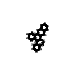 c1ccc2c(c1)Cc1c(c3nnc4ccccc4c3c3ccccc13)C2